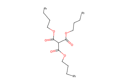 CC(C)CCCOC(=O)C(C(=O)OCCCC(C)C)C(=O)OCCCC(C)C